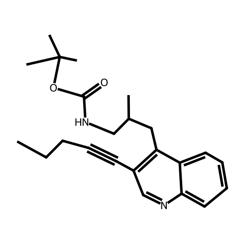 CCCC#Cc1cnc2ccccc2c1CC(C)CNC(=O)OC(C)(C)C